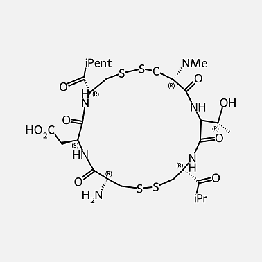 CCCC(C)C(=O)[C@@H]1CSSC[C@H](NC)C(=O)NC([C@@H](C)O)C(=O)N[C@H](C(=O)C(C)C)CSSC[C@H](N)C(=O)N[C@@H](CC(=O)O)C(=O)N1